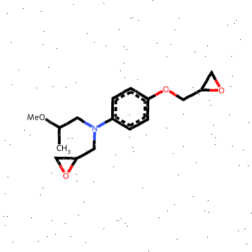 COC(C)CN(CC1CO1)c1ccc(OCC2CO2)cc1